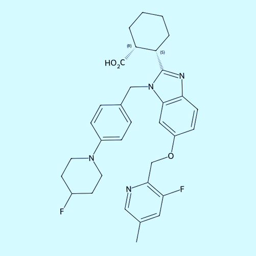 Cc1cnc(COc2ccc3nc([C@H]4CCCC[C@H]4C(=O)O)n(Cc4ccc(N5CCC(F)CC5)cc4)c3c2)c(F)c1